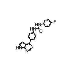 O=C(Nc1ccc(F)cc1)Nc1ccc(-c2ncnc3[nH]ccc23)cc1